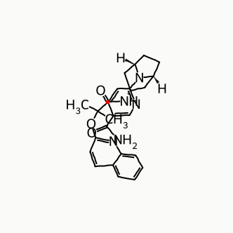 CC(C)(Oc1ccc2ccccc2n1)C(=O)N[C@H]1C[C@H]2CC[C@@H](C1)N2c1ccc(C(N)=O)cn1